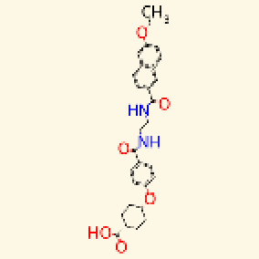 CCOc1ccc2cc(C(=O)NCCNC(=O)c3ccc(O[C@H]4CC[C@@H](C(=O)O)CC4)cc3)ccc2c1